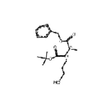 C[C@H](C(=O)OCc1ccccc1)[C@H](CCCO)C(=O)OC(C)(C)C